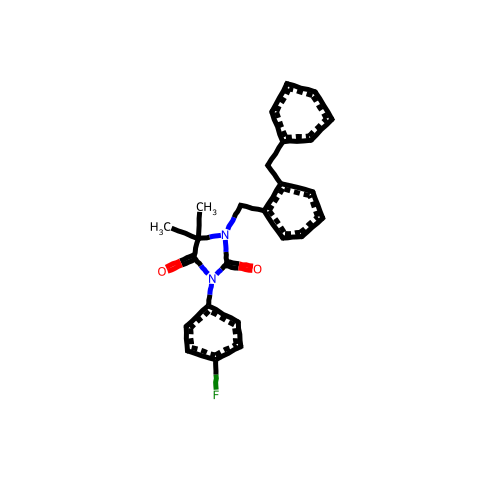 CC1(C)C(=O)N(c2ccc(F)cc2)C(=O)N1Cc1ccccc1Cc1ccccc1